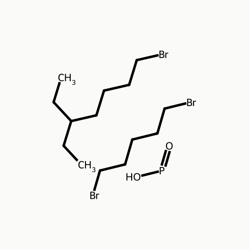 BrCCCCCBr.CCC(CC)CCCCBr.O=PO